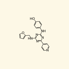 Oc1ccc(Nc2nc(NCc3ccco3)nc(-c3ccncc3)n2)cc1